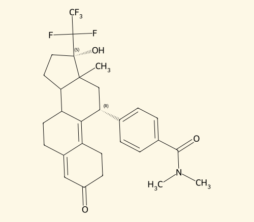 CN(C)C(=O)c1ccc([C@H]2CC3(C)C(CC[C@@]3(O)C(F)(F)C(F)(F)F)C3CCC4=CC(=O)CCC4=C32)cc1